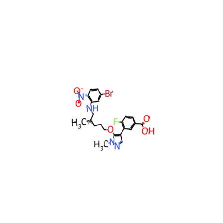 C[C@H](CCCOc1c(-c2cc(C(=O)O)ccc2F)cnn1C)CNc1cc(Br)ccc1[N+](=O)[O-]